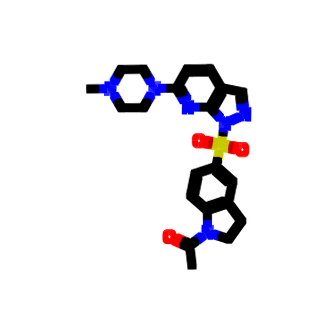 CC(=O)N1CCc2cc(S(=O)(=O)n3ncc4ccc(N5CCN(C)CC5)nc43)ccc21